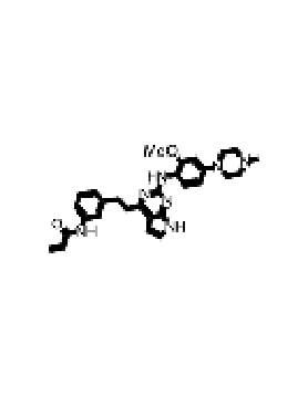 C=CC(=O)Nc1cccc(CCc2nc(Nc3ccc(N4CCN(C)CC4)cc3OC)nc3[nH]ccc23)c1